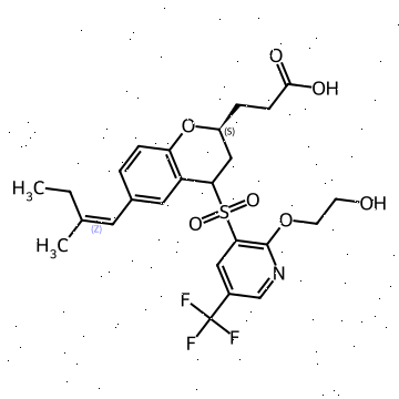 CC/C(C)=C\c1ccc2c(c1)C(S(=O)(=O)c1cc(C(F)(F)F)cnc1OCCO)C[C@H](CCC(=O)O)O2